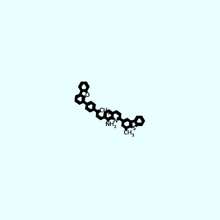 C=C(/C=C\c1ccc2ccc(C3=Cc4c(sc5ccccc45)C(C)C3)nc2c1N)c1ccc(-c2cccc3c2OC2C=CC=CC32)cc1